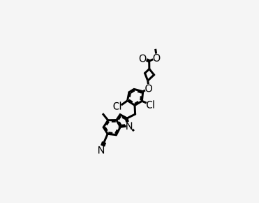 COC(=O)C1CC(Oc2ccc(Cl)c(Cc3cc4c(C)cc(C#N)cc4n3C)c2Cl)C1